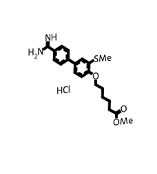 COC(=O)CCCCCOc1ccc(-c2ccc(C(=N)N)cc2)cc1SC.Cl